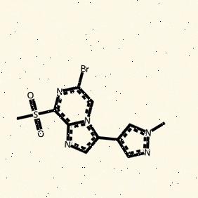 Cn1cc(-c2cnc3c(S(C)(=O)=O)nc(Br)cn23)cn1